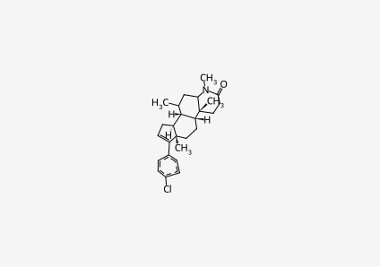 CC1CC2N(C)C(=O)CC[C@]2(C)[C@@H]2CC[C@]3(C)C(c4ccc(Cl)cc4)=CC[C@H]3[C@H]12